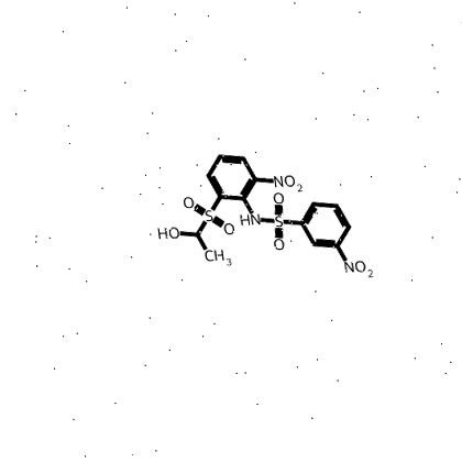 CC(O)S(=O)(=O)c1cccc([N+](=O)[O-])c1NS(=O)(=O)c1cccc([N+](=O)[O-])c1